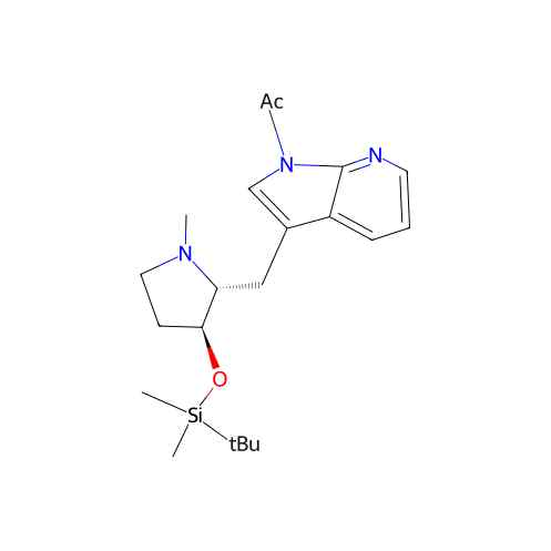 CC(=O)n1cc(C[C@@H]2[C@@H](O[Si](C)(C)C(C)(C)C)CCN2C)c2cccnc21